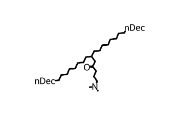 CCCCCCCCCCCCCCCCCCC(CCCCCCCCCCCCCCCCCC)CC(=O)CCCN(C)C